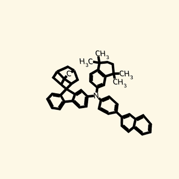 CC1(C)CCC(C)(C)c2cc(N(c3ccc(-c4ccc5ccccc5c4)cc3)c3ccc4c(c3)C3(c5ccccc5-4)C4CC5CC6CC3C64C5)ccc21